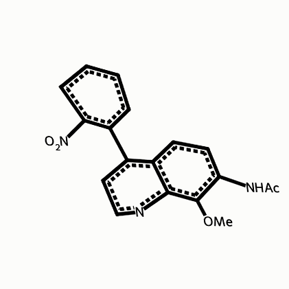 COc1c(NC(C)=O)ccc2c(-c3ccccc3[N+](=O)[O-])ccnc12